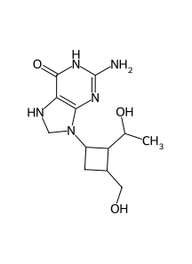 CC(O)C1C(CO)CC1N1CNc2c1nc(N)[nH]c2=O